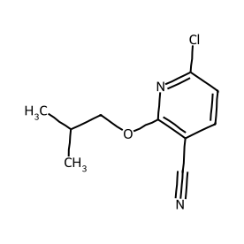 CC(C)COc1nc(Cl)ccc1C#N